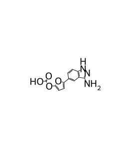 Nc1n[nH]c2ccc(-c3ccc(OC(=O)O)o3)cc12